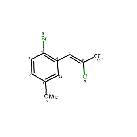 COc1ccc(Br)c(C=C(Cl)C(F)(F)F)c1